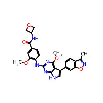 COc1cc(C(=O)NC2COC2)ccc1Nc1nc(OC)c2c(-c3ccc4c(C)noc4c3)c[nH]c2n1